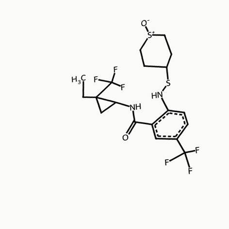 CCC1(C(F)(F)F)CC1NC(=O)c1cc(C(F)(F)F)ccc1NSC1CC[S+]([O-])CC1